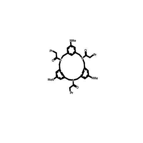 CNc1cc2cc(c1)CN(C(=O)CC(C)C)Cc1cc(cc(NC)c1)CN(C(=O)CC(C)C)Cc1cc(cc(NC)c1)CN(C(=O)CC(C)C)C2